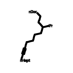 [CH2]CCCCCCC#CCCCCC(CCCCCCCCCCC[CH2])C(C)C